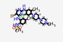 Cc1ccc(NS(C)(=O)=O)c(Nc2nc(Nc3cc(C)c(N4CCC(N5CCN(C)CC5)CC4)cc3Cl)ncc2Br)c1